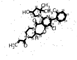 C=CC(=O)N1CCN2C(=O)c3c(N4CC(O)CC4(C)C)nc(-c4ccccc4C(F)(F)F)c(Cl)c3OC[C@H]2C1